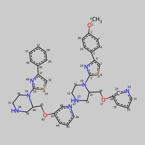 COc1ccc(-c2csc(N3CCNCC3COc3cccnc3)n2)cc1.c1ccc(-c2csc(N3CCNCC3COc3cccnc3)n2)cc1